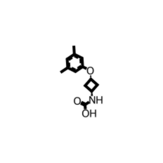 Cc1cc(C)cc(O[C@H]2C[C@H](NC(=O)O)C2)c1